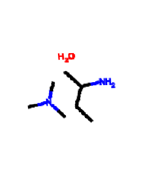 CCC(C)N.CN(C)C.O